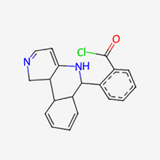 O=C(Cl)c1ccccc1C1NC2=CC=NCC2C2C=CC=CC12